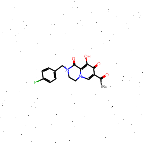 CC(C)(C)C(=O)c1cn2c(c(O)c1=O)C(=O)N(Cc1ccc(F)cc1)CC2